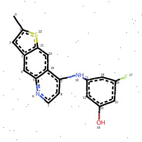 Cc1cc2cc3nccc(Nc4cc(O)cc(F)c4)c3cc2s1